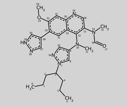 CCCC(CCC)n1cc(N(C)c2c(N(C)C=O)cnc3cc(OC)c(-c4cn[nH]c4)cc23)cn1